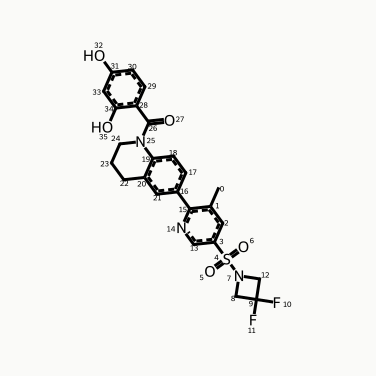 Cc1cc(S(=O)(=O)N2CC(F)(F)C2)cnc1-c1ccc2c(c1)CCCN2C(=O)c1ccc(O)cc1O